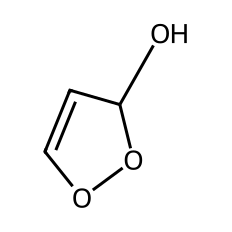 OC1C=COO1